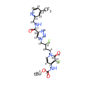 CC(C)(C)OC(=O)Nc1ccn(CCC(F)Cn2cc(C(=O)NCc3cc(C(F)(F)F)ccn3)nn2)c(=O)c1F